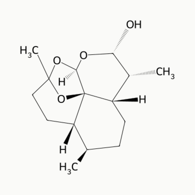 C[C@H]1[C@@H](O)O[C@@H]2OC3(C)CC[C@H]4[C@H](C)CC[C@@H]1[C@@]24O3